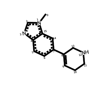 Cn1cnc2ccc(C3=CCCNC3)cc21